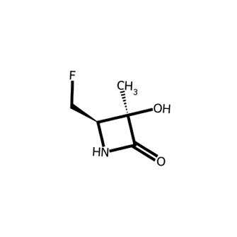 C[C@]1(O)C(=O)N[C@H]1CF